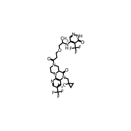 CC(COCCC(=O)N1CCN2c3ncc(C(F)(F)F)cc3N(CC3(C)CC3)C(=O)C2C1)Nc1cn[nH]c(=O)c1C(F)(F)F